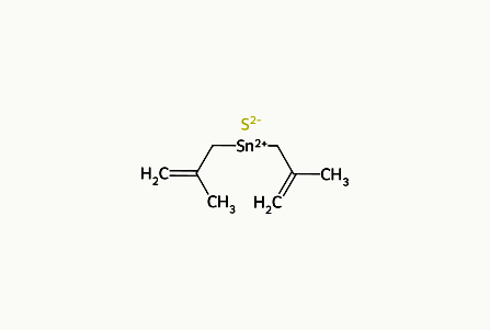 C=C(C)[CH2][Sn+2][CH2]C(=C)C.[S-2]